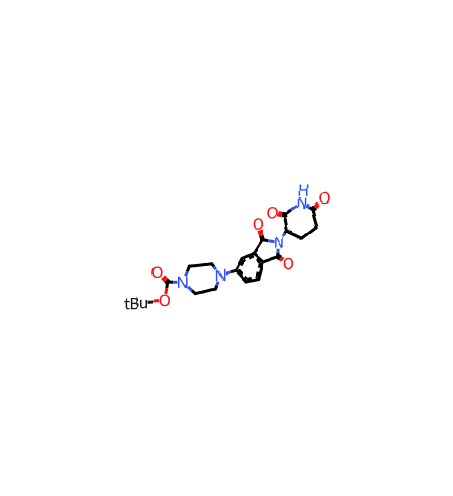 CC(C)(C)OC(=O)N1CCN(c2ccc3c(c2)C(=O)N(C2CCC(=O)NC2=O)C3=O)CC1